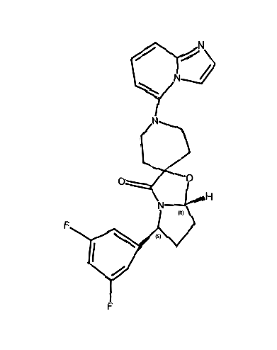 O=C1N2[C@@H](CC[C@H]2c2cc(F)cc(F)c2)OC12CCN(c1cccc3nccn13)CC2